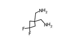 NCC1(CN)CC(F)(F)C1